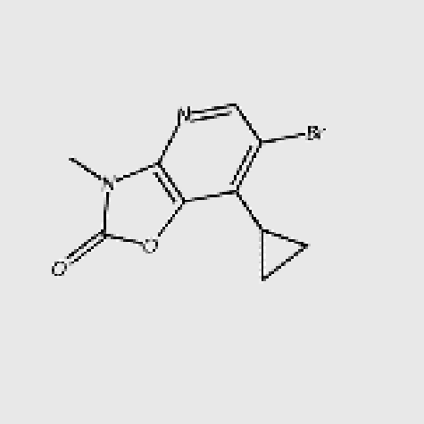 Cn1c(=O)oc2c(C3CC3)c(Br)cnc21